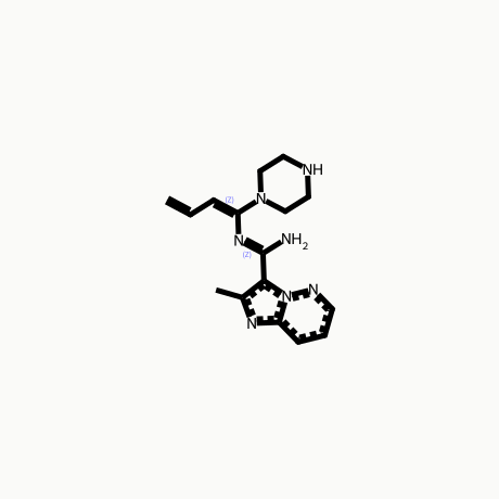 C=C/C=C(\N=C(/N)c1c(C)nc2cccnn12)N1CCNCC1